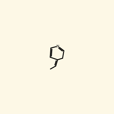 CC=C1C=CN=CC1